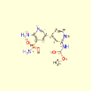 COC(=O)Nc1cc(-c2cnc(N)c(S(N)(=O)=O)c2)ccn1